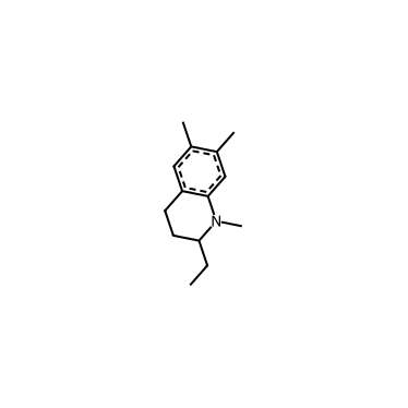 CCC1CCc2cc(C)c(C)cc2N1C